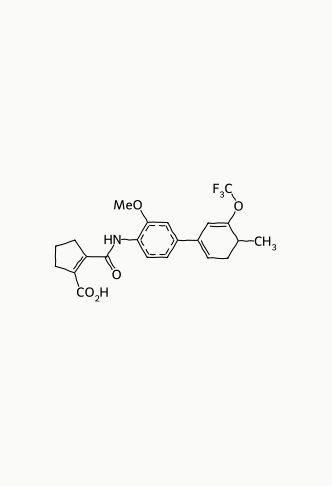 COc1cc(C2=CCC(C)C(OC(F)(F)F)=C2)ccc1NC(=O)C1=C(C(=O)O)CCC1